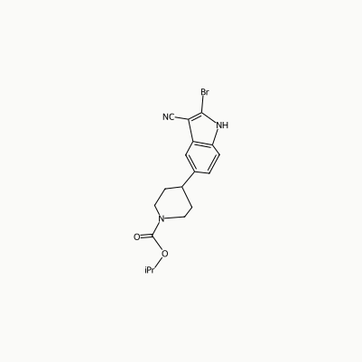 CC(C)OC(=O)N1CCC(c2ccc3[nH]c(Br)c(C#N)c3c2)CC1